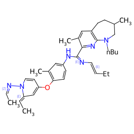 C/C=N\N1C=CC(Oc2ccc(N/C(=N/C=C/CC)c3nc4c(cc3C)CCC(C)CN4CCCC)cc2C)=C/C1=C\C